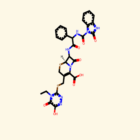 CCn1c(SCC2=C(C(=O)O)N3C(=O)C(NC(=O)C(NC(=O)n4c(=O)[nH]c5ccccc54)c4ccccc4)[C@@H]3SC2)nnc(O)c1=O